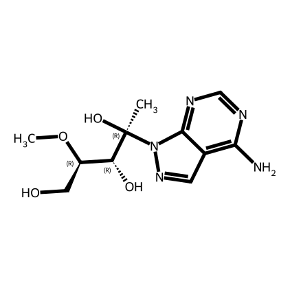 CO[C@H](CO)[C@@H](O)[C@@](C)(O)n1ncc2c(N)ncnc21